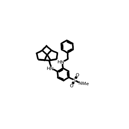 CNS(=O)(=O)c1ccc(NC2C3CC4CC5CC2CC45C3)c(NCc2ccccc2)c1